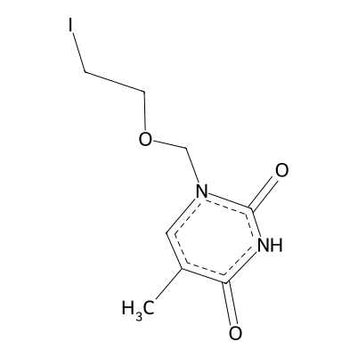 Cc1cn(COCCI)c(=O)[nH]c1=O